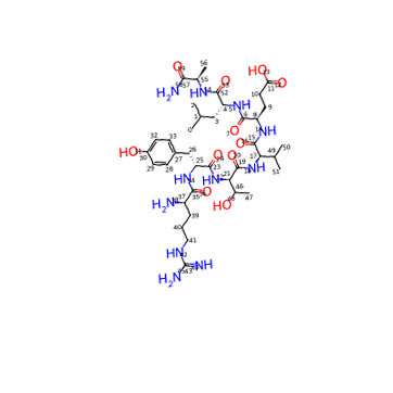 CC(C)C[C@@H](NC(=O)[C@@H](CCC(=O)O)NC(=O)[C@H](NC(=O)[C@H](NC(=O)[C@@H](Cc1ccc(O)cc1)NC(=O)[C@H](N)CCCNC(=N)N)C(C)O)C(C)C)C(=O)N[C@H](C)C(N)=O